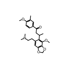 COc1ccc(C(=O)CC(C)c2c(CCN(C)C)cc3c(c2OC)OCO3)cc1C